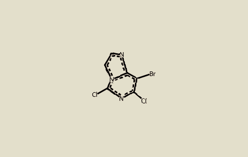 Clc1nc(Cl)n2ccnc2c1Br